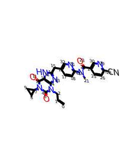 C=CCn1c(=O)n(C2CC2)c(=O)c2[nH]c(Cc3ccc(N(C)C(=O)c4ccc(C#N)nc4)nc3)nc21